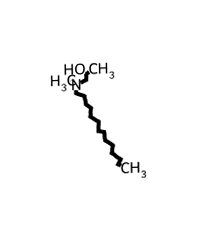 CCCCCCCCCCCCCCN(C)CC(C)O